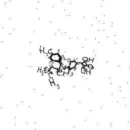 Cc1ccc(N(c2ccc(C3=C(O)C(=O)C3O)cc2)C(C)CC(C)C)cc1